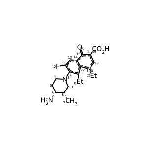 CCc1c(N2CC[C@@H](N)[C@@H](C)C2)c(F)cc2c(=O)c(C(=O)O)cn(CC)c12